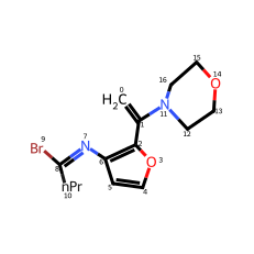 C=C(c1occc1/N=C(/Br)CCC)N1CCOCC1